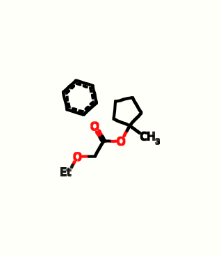 CCOCC(=O)OC1(C)CCCC1.c1ccccc1